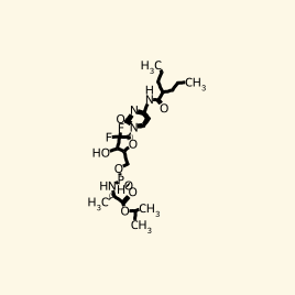 CCCC(CCC)C(=O)Nc1ccn([C@@H]2OC(CO[PH](=O)N[C@@H](C)C(=O)OC(C)C)C(O)C2(F)F)c(=O)n1